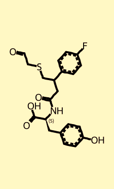 O=CCSCC(CC(=O)N[C@@H](Cc1ccc(O)cc1)C(=O)O)c1ccc(F)cc1